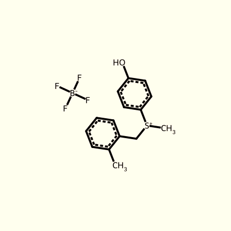 Cc1ccccc1C[S+](C)c1ccc(O)cc1.F[B-](F)(F)F